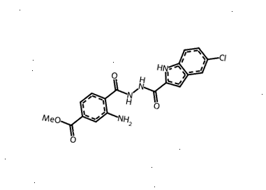 COC(=O)c1ccc(C(=O)NNC(=O)c2cc3cc(Cl)ccc3[nH]2)c(N)c1